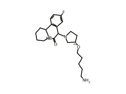 NCCCCCO[C@@H]1CCN(C(C(=O)O)c2cc(F)ccc2C2CCCCO2)C1